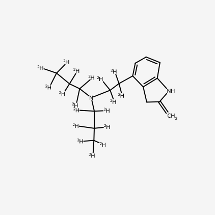 [2H]C([2H])([2H])C([2H])([2H])C([2H])([2H])N(C([2H])([2H])C([2H])([2H])c1cccc2c1CC(=C)N2)C([2H])([2H])C([2H])([2H])C([2H])([2H])[2H]